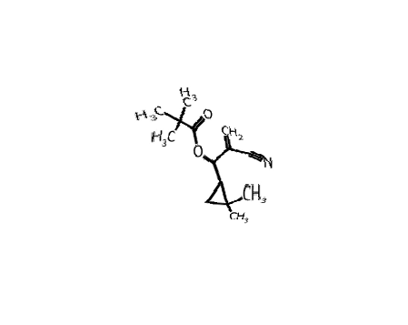 C=C(C#N)C(OC(=O)C(C)(C)C)C1CC1(C)C